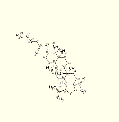 C=C(C)[C@@H]1CC[C@]2(C(=O)O)CC[C@]3(C)[C@H](CCC4[C@@]5(C)CC[C@H](OC(=O)CNOC)C(C)(C)C5CC[C@]43C)C12